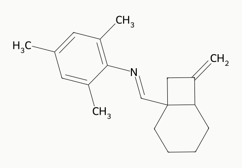 C=C1CC2(C=Nc3c(C)cc(C)cc3C)CCCCC12